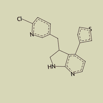 Clc1ccc(CC2CNc3nccc(-c4ccsc4)c32)cn1